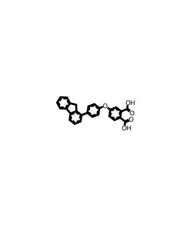 O=C(O)c1ccc(Oc2ccc(-c3cccc4c3Cc3ccccc3-4)cc2)cc1C(=O)O